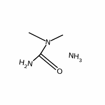 CN(C)C(N)=O.N